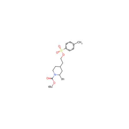 Cc1ccc(S(=O)(=O)OCCC2CCN(C(=O)OC(C)(C)C)C(C(C)C)C2)cc1